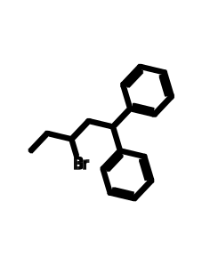 CCC(Br)CC(c1ccccc1)c1ccccc1